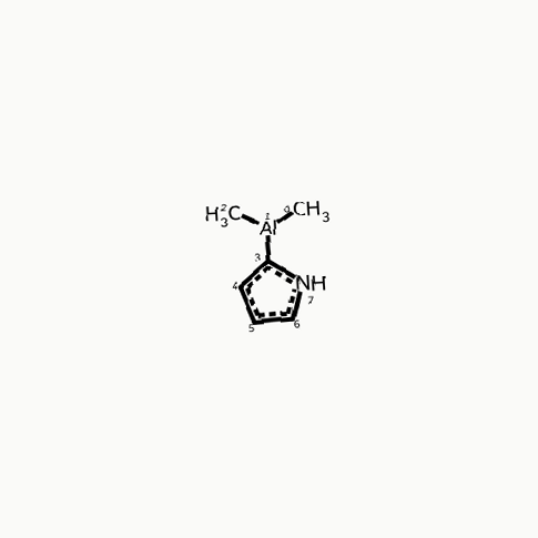 [CH3][Al]([CH3])[c]1ccc[nH]1